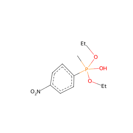 CCOP(C)(O)(OCC)c1ccc([N+](=O)[O-])cc1